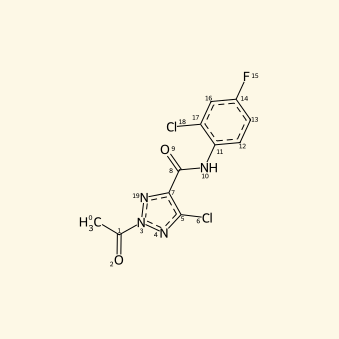 CC(=O)n1nc(Cl)c(C(=O)Nc2ccc(F)cc2Cl)n1